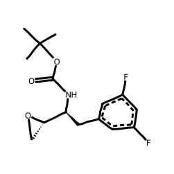 CC(C)(C)OC(=O)N[C@@H](Cc1cc(F)cc(F)c1)[C@@H]1CO1